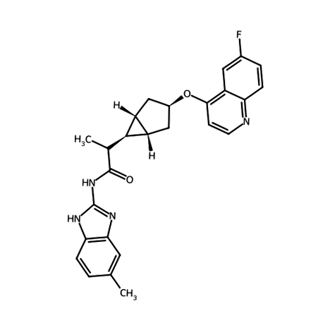 Cc1ccc2[nH]c(NC(=O)C(C)[C@H]3[C@@H]4C[C@@H](Oc5ccnc6ccc(F)cc56)C[C@@H]43)nc2c1